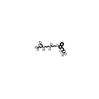 COC(=O)CCC(CC(=O)OC)NCCCNC(=O)CCCOc1ccc(C=C2SC(=O)NC2=O)c2ccccc12